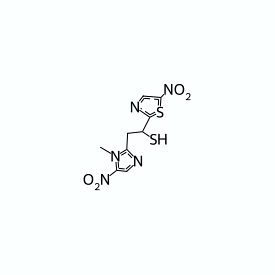 Cn1c([N+](=O)[O-])cnc1CC(S)c1ncc([N+](=O)[O-])s1